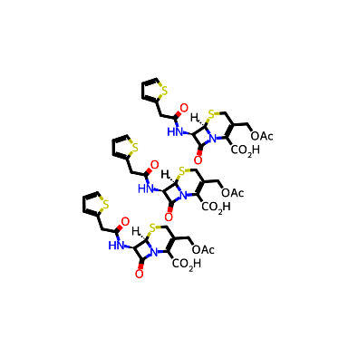 CC(=O)OCC1=C(C(=O)O)N2C(=O)[C@@H](NC(=O)Cc3cccs3)[C@H]2SC1.CC(=O)OCC1=C(C(=O)O)N2C(=O)[C@@H](NC(=O)Cc3cccs3)[C@H]2SC1.CC(=O)OCC1=C(C(=O)O)N2C(=O)[C@@H](NC(=O)Cc3cccs3)[C@H]2SC1